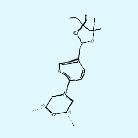 C[C@@H]1CN(c2ccc(B3OC(C)(C)C(C)(C)O3)cn2)C[C@H](C)O1